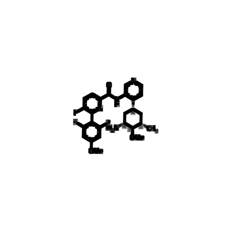 COc1cc(F)c(-c2nc(C(=O)Nc3cnccc3[C@H]3C[C@@H](N)[C@H](OC)[C@@H](C)C3)ccc2F)c(P)c1